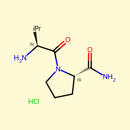 CC(C)[C@H](N)C(=O)N1CCC[C@H]1C(N)=O.Cl